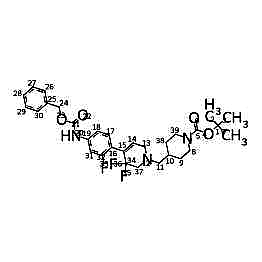 CC(C)(C)OC(=O)N1CCC(CN2CC=C(c3ccc(NC(=O)OCc4ccccc4)cc3F)C(F)(F)C2)CC1